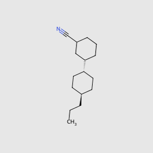 CCC[C@H]1CC[C@H](C2CCCC(C#N)C2)CC1